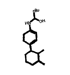 CCCCC(O)NC1=CC=C(C2CCCC(C)C2C)CC1